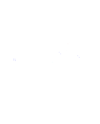 C/C=C\C/N=C1\CCN(Cc2ccc(-c3cnc4ccccc4c3)cc2F)C1=O